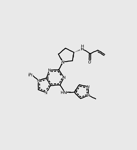 C=CC(=O)N[C@H]1CCN(c2nc(Nc3cnn(C)c3)c3ncn(C(C)C)c3n2)C1